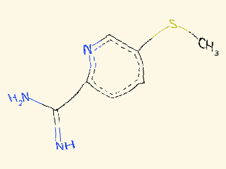 CSc1ccc(C(=N)N)nc1